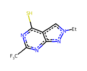 CCn1cc2c(S)nc(C(F)(F)F)nc2n1